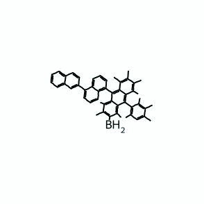 Bc1c(C)c(C)c2c(-c3cccc4c(-c5ccc6ccccc6c5)cccc34)c3c(C)c(C)c(C)c(C)c3c(-c3c(C)cc(C)c(C)c3C)c2c1C